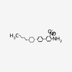 CCCCC[C@H]1CC[C@H](c2ccc(-c3ccc(N)c([N+](=O)[O-])c3)cc2)CC1